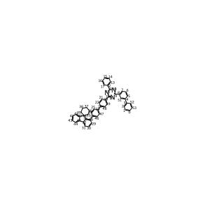 c1ccc(-c2cccc(-c3nc(-c4ccccc4)nc(-c4ccc(-c5ccc(-c6cccc7c6C6(CCCCC6)c6ccccc6-7)cc5)cc4)n3)c2)cc1